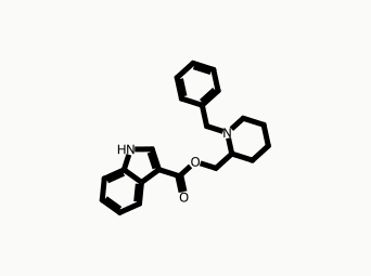 O=C(OCC1CCCCN1Cc1ccccc1)c1c[nH]c2ccccc12